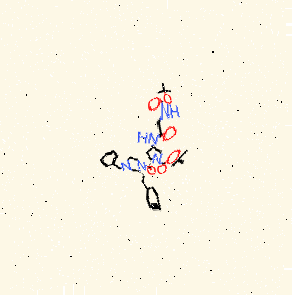 CC(C)(C)OC(=O)NCC(=O)NC1C[C@@H](C(=O)N2CCN(Cc3ccccc3)C[C@H]2CCc2ccccc2)N(C(=O)OC(C)(C)C)C1